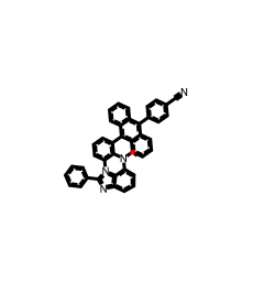 CCN1c2c(-c3c4ccccc4c(-c4ccc(C#N)cc4)c4ccccc34)cccc2-n2c(-c3ccccc3)nc3cccc1c32